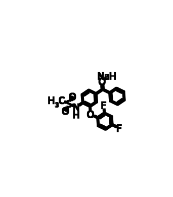 CS(=O)(=O)Nc1ccc(C(=O)c2ccccc2)cc1Oc1ccc(F)cc1F.[NaH]